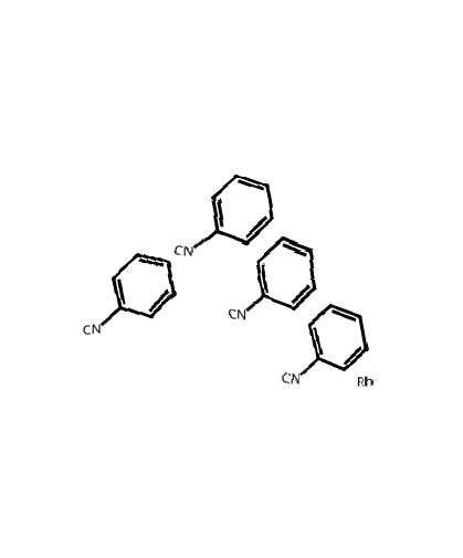 [C-]#[N+]c1ccccc1.[C-]#[N+]c1ccccc1.[C-]#[N+]c1ccccc1.[C-]#[N+]c1ccccc1.[Rh]